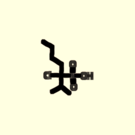 CCCCC(Cl)(C(C)C)S(=O)(=O)O